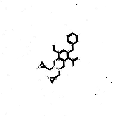 C=Cc1cc(Cc2ccccc2)c(C(=C)C)c(COCC2CO2)c1COCC1CO1